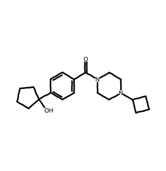 O=C(c1ccc(C2(O)CCCC2)cc1)N1CCN(C2CCC2)CC1